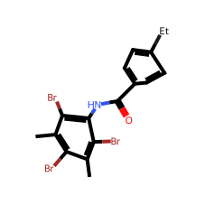 CCc1ccc(C(=O)Nc2c(Br)c(C)c(Br)c(C)c2Br)cc1